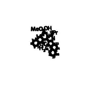 COC1(O)C2c3cc4ccccc4cc3-c3c4c(nc(C(C)C)[n+]3C21)-c1ccc2ccccc2c1C4(C)C